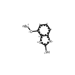 CCCCOc1cccc2nc(S)sc12